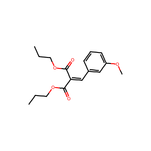 CCCOC(=O)C(=Cc1cccc(OC)c1)C(=O)OCCC